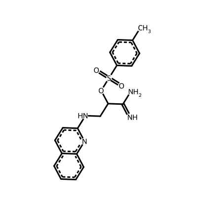 Cc1ccc(S(=O)(=O)OC(CNc2ccc3ccccc3n2)C(=N)N)cc1